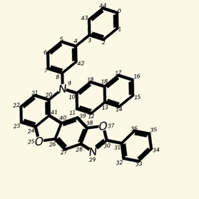 c1ccc(-c2cccc(N(c3ccc4ccccc4c3)c3cccc4oc5cc6nc(-c7ccccc7)oc6cc5c34)c2)cc1